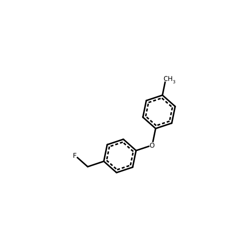 Cc1ccc(Oc2ccc(CF)cc2)cc1